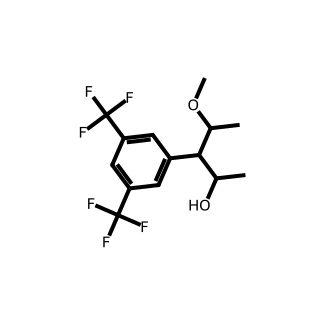 COC(C)C(c1cc(C(F)(F)F)cc(C(F)(F)F)c1)C(C)O